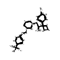 OC(CN1CCC[C@H](COc2ccc(C(F)(F)F)cc2)C1)C1(c2ccc(Cl)cc2)CCC1